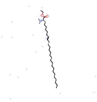 CCCCCCCCCCCCCCCCCC/C=C/CCCCCCC(C(=O)OCC)N(C)C